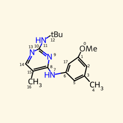 COc1cc(C)cc(Nc2nc(NC(C)(C)C)ncc2C)c1